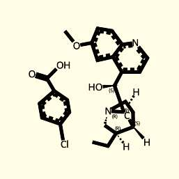 CC[C@H]1C[N@]2CC[C@H]1C[C@@H]2[C@@H](O)c1ccnc2ccc(OC)cc12.O=C(O)c1ccc(Cl)cc1